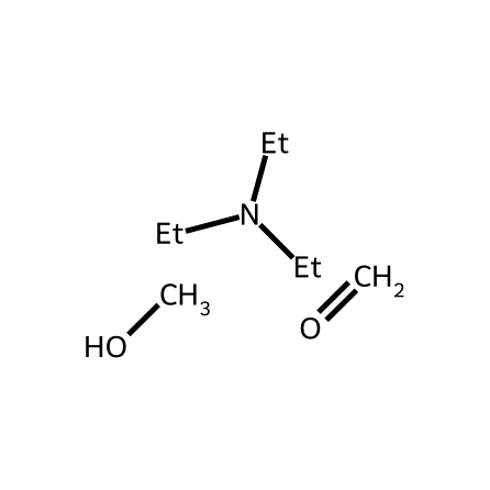 C=O.CCN(CC)CC.CO